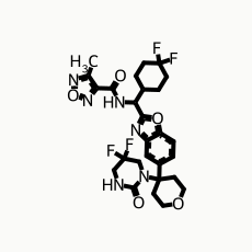 Cc1nonc1C(=O)NC(c1nc2cc(C3(N4CC(F)(F)CNC4=O)CCOCC3)ccc2o1)C1CCC(F)(F)CC1